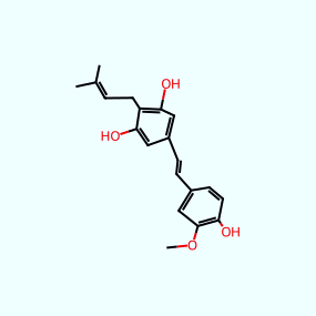 COc1cc(C=Cc2cc(O)c(CC=C(C)C)c(O)c2)ccc1O